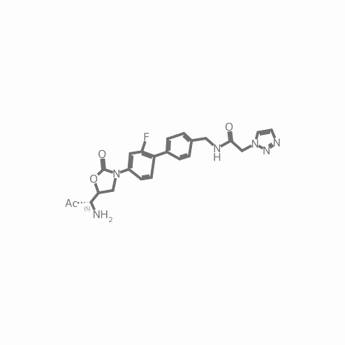 CC(=O)[C@@H](N)C1CN(c2ccc(-c3ccc(CNC(=O)Cn4ccnn4)cc3)c(F)c2)C(=O)O1